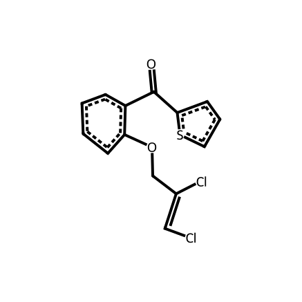 O=C(c1cccs1)c1ccccc1OCC(Cl)=CCl